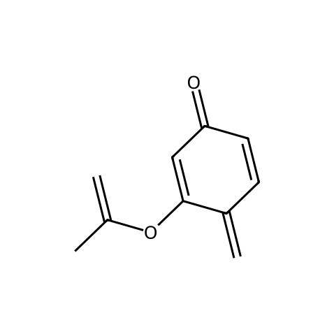 C=C(C)OC1=CC(=O)C=CC1=C